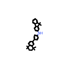 CC1(C)CCC(C)(C)c2cc(-c3ccc(Nc4ccc5c(c4)C(C)(C)c4ccccc4-5)cc3)ccc21